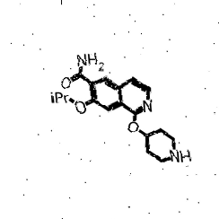 CC(C)Oc1cc2c(OC3CCNCC3)nccc2cc1C(N)=O